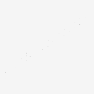 CCCCCCCC/C=C\CCCCCCCC(=O)OCCCCCCCCCCCCCCCCCCCCC(C)CC